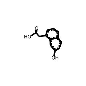 O=C(O)Cc1cccc2ccc(O)cc12